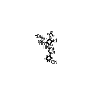 CC(C)(C)OC(=O)Nc1cc(N2CCC2)c(Cl)cc1NC(=O)CC(=O)c1ccnc(C#N)c1